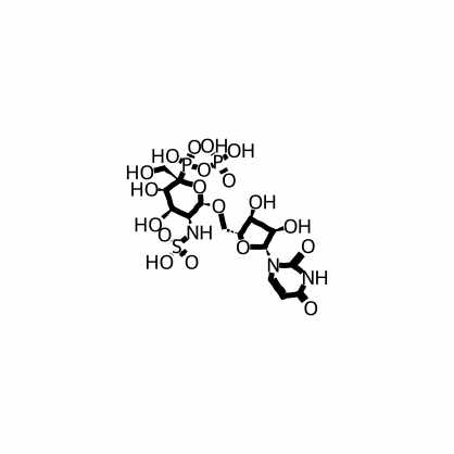 O=c1ccn([C@@H]2O[C@H](CO[C@H]3O[C@@](CO)(P(=O)(O)OP(=O)(O)O)[C@@H](O)[C@H](O)[C@H]3NS(=O)(=O)O)[C@@H](O)[C@H]2O)c(=O)[nH]1